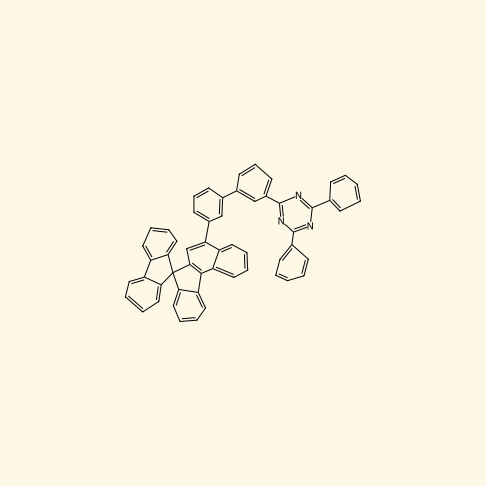 c1ccc(-c2nc(-c3ccccc3)nc(-c3cccc(-c4cccc(-c5cc6c(c7ccccc57)-c5ccccc5C65c6ccccc6-c6ccccc65)c4)c3)n2)cc1